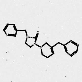 O=C1N(Cc2cccnc2)CCN1N1CCC=C(Cc2ccccc2)C1